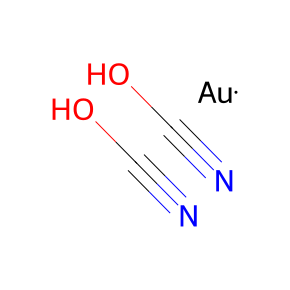 N#CO.N#CO.[Au]